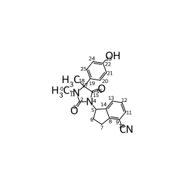 CN1C(=O)N(C2CCc3c(C#N)cccc32)C(=O)C1(C)c1ccc(O)cc1